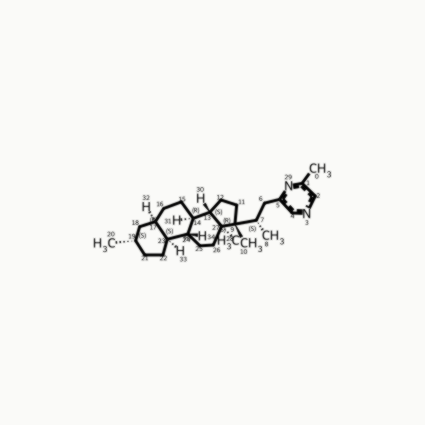 Cc1cncc(C[C@H](C)[C@@]2(C)CC[C@H]3[C@@H]4CC[C@@H]5C[C@@H](C)CC[C@@H]5[C@H]4CC[C@@]32C)n1